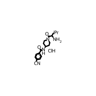 CC(C)C(N)C(=O)N1CCC(NC(=O)c2ccc(C#N)cc2)CC1.Cl